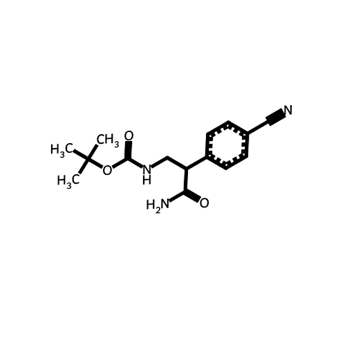 CC(C)(C)OC(=O)NCC(C(N)=O)c1ccc(C#N)cc1